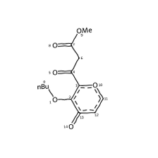 CCCCOc1c(C(=O)CC(=O)OC)occc1=O